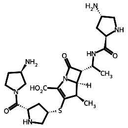 CC(NC(=O)[C@H]1C[C@H](N)CN1)[C@H]1C(=O)N2C(C(=O)O)=C(S[C@@H]3CN[C@H](C(=O)N4CC[C@@H](N)C4)C3)[C@H](C)[C@H]12